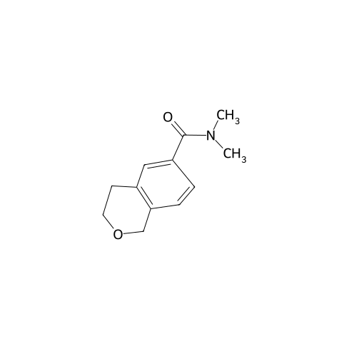 CN(C)C(=O)c1ccc2c(c1)CCOC2